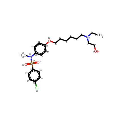 CCN(CCO)CCCCCCOc1ccc(N(C)S(=O)(=O)c2ccc(Cl)cc2)cc1